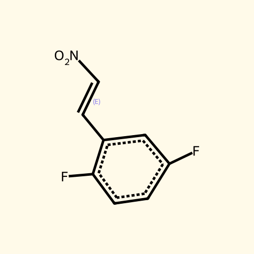 O=[N+]([O-])/C=C/c1cc(F)ccc1F